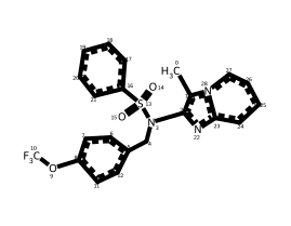 Cc1c(N(Cc2ccc(OC(F)(F)F)cc2)S(=O)(=O)c2ccccc2)nc2ccccn12